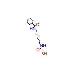 O=C(CS)NCCCCCCNC(=O)c1ccccc1